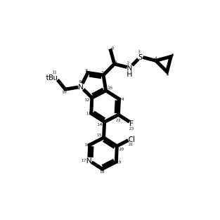 CC(NSC1CC1)c1cn(CC(C)(C)C)c2cc(-c3cnccc3Cl)c(F)cc12